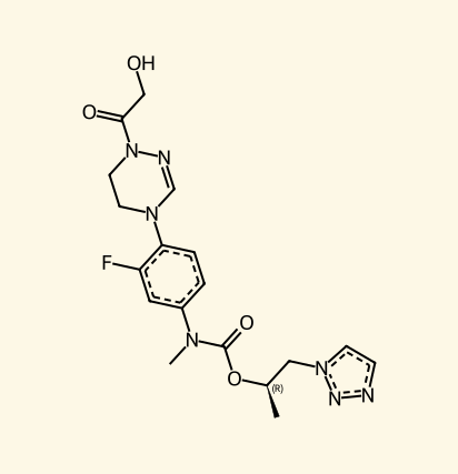 C[C@H](Cn1ccnn1)OC(=O)N(C)c1ccc(N2C=NN(C(=O)CO)CC2)c(F)c1